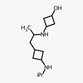 CC(C)NC1CC(CC(C)NC2CC(O)C2)C1